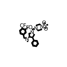 CN(Cc1ccc(C(F)(F)F)c(F)c1)C1CN(C(=O)N2CCN(S(C)(=O)=O)CC2)CC1c1ccccc1